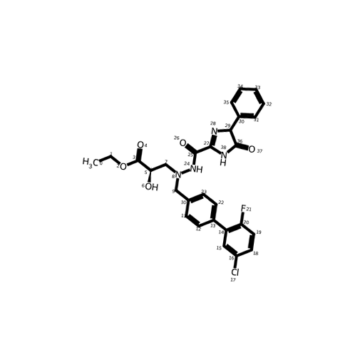 CCOC(=O)[C@H](O)CN(Cc1ccc(-c2cc(Cl)ccc2F)cc1)NC(=O)C1=NC(c2ccccc2)C(=O)N1